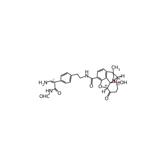 CN1CC23c4c5ccc(C(=O)NCCc6ccc(/C(=C/N)C(=O)NC=O)cc6)c4O[C@H]2C(=O)CC[C@@]3(O)[C@H]1C5